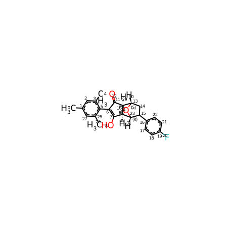 Cc1cc(C)c(C2=C(O)[C@H]3[C@@H](C2=O)[C@@H]2CC(c4ccc(F)cc4)[C@H]3O2)c(C)c1